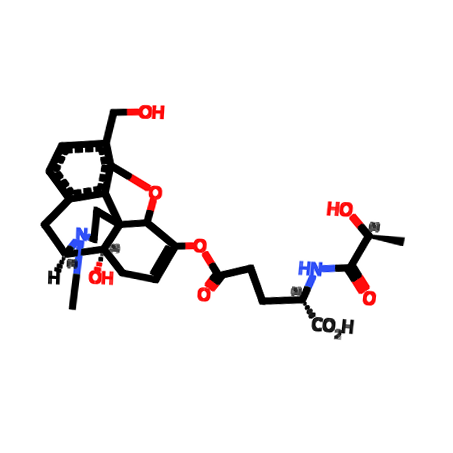 C[C@H](O)C(=O)N[C@@H](CCC(=O)OC1=CC[C@@]2(O)[C@H]3Cc4ccc(CO)c5c4C2(CCN3C)C1O5)C(=O)O